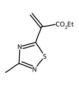 C=C(C(=O)OCC)c1nc(C)ns1